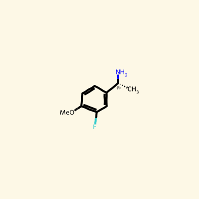 COc1ccc([C@@H](C)N)cc1F